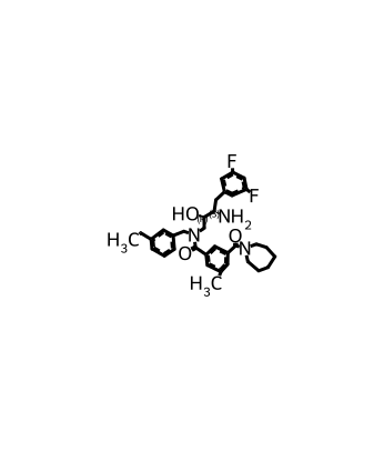 CCc1cccc(CN(C[C@@H](O)[C@@H](N)Cc2cc(F)cc(F)c2)C(=O)c2cc(C)cc(C(=O)N3CCCCCC3)c2)c1